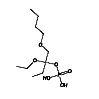 CCCCOCC(CC)(OCC)OP(=O)(O)O